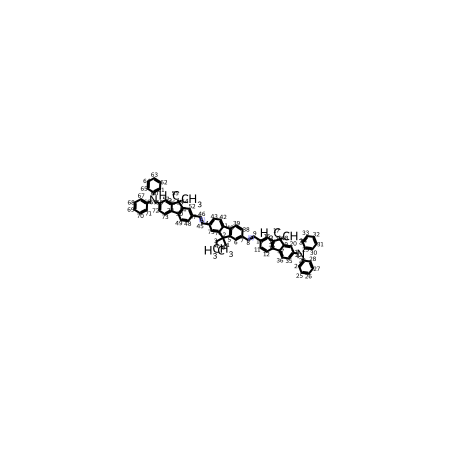 CCC1(CC)c2cc(/C=C/c3ccc4c(c3)C(C)(C)c3cc(N(c5ccccc5)c5ccccc5)ccc3-4)ccc2-c2ccc(/C=C/c3ccc4c(c3)C(C)(C)c3cc(N(c5ccccc5)c5ccccc5)ccc3-4)cc21